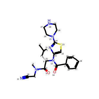 CC(C)C[C@@H](C(=O)N(C)CC#N)N(C(=O)c1ccccc1)c1csc(N2CCNCC2)n1